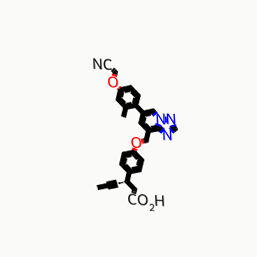 CC#C[C@@H](CC(=O)O)c1ccc(OCc2cc(-c3ccc(OCC#N)cc3C)cn3ncnc23)cc1